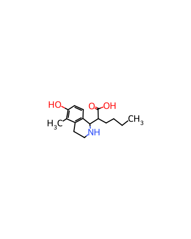 CCCCC(C(=O)O)C1NCCc2c1ccc(O)c2C